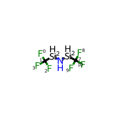 FC(F)(F)[SiH2]N[SiH2]C(F)(F)F